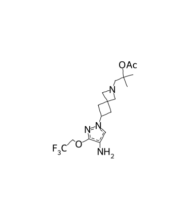 CC(=O)OC(C)(C)CN1CC2(CC(n3cc(N)c(OCC(F)(F)F)n3)C2)C1